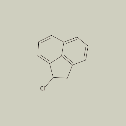 ClC1Cc2cccc3cccc1c23